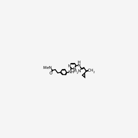 C=C(/C=C(\N)Nc1ccnc(Nc2ccc(CCC(=O)NC)cc2)n1)C1CC1